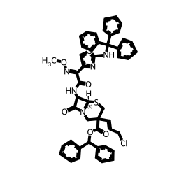 CON=C(C(=O)NC1C(=O)N2CC(C=CCCl)(C(=O)OC(c3ccccc3)c3ccccc3)CS[C@H]12)c1csc(NC(c2ccccc2)(c2ccccc2)c2ccccc2)n1